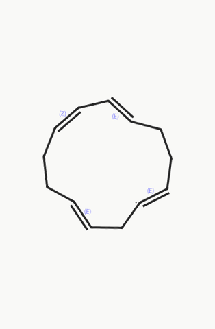 [C]1=C/CC/C=C/C=C\CC/C=C/C/1